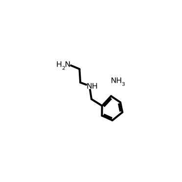 N.NCCNCc1ccccc1